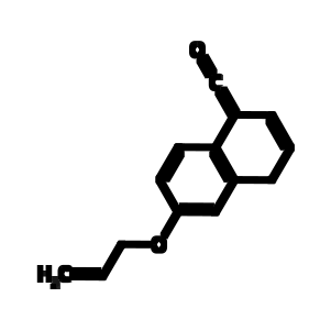 C=CCOc1ccc2c(c1)CC=CC2=C=O